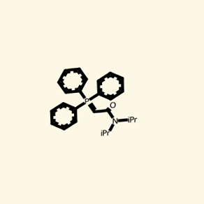 CC(C)N(C(=O)C=P(c1ccccc1)(c1ccccc1)c1ccccc1)C(C)C